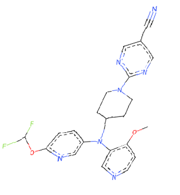 COc1ccncc1N(c1ccc(OC(F)F)nc1)C1CCN(c2ncc(C#N)cn2)CC1